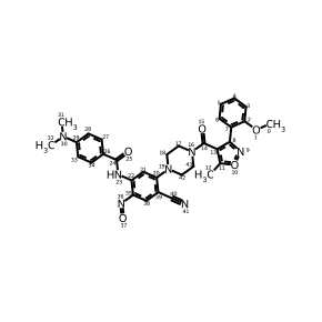 COc1ccccc1-c1noc(C)c1C(=O)N1CCN(c2cc(NC(=O)c3ccc(N(C)C)cc3)c(N=O)cc2C#N)CC1